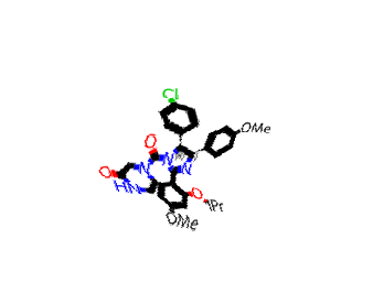 COc1ccc([C@@H]2N=C(c3ccc(OC)cc3OC(C)C)N(C(=O)N3CCNC(=O)C3)[C@@H]2c2ccc(Cl)cc2)cc1